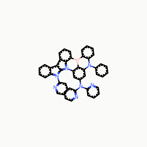 c1ccc(N2c3ccccc3B3c4c2cc(N(c2ccccn2)c2ccccn2)cc4-n2c4c3cccc4c3c4ccccc4n(-c4ccccn4)c32)cc1